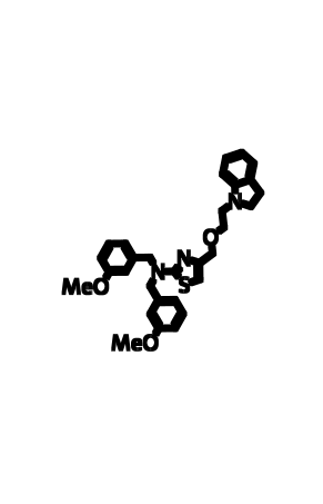 COc1cccc(CN(Cc2cccc(OC)c2)c2nc(COCCN3CCc4ccccc43)cs2)c1